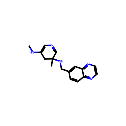 CNC1=CN=CC(C)(NCc2ccc3nccnc3c2)C1